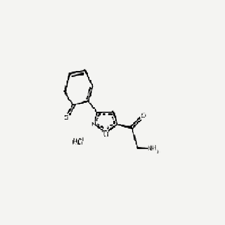 Cl.NCC(=O)c1cc(C2=CC=CCC2=S)no1